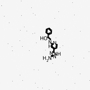 Nc1n[nH]c(-c2ccnc(NCC(O)c3ccccc3)c2)n1